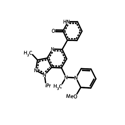 COC1C=CC=CN1N(C)c1cc(-c2ccc[nH]c2=O)nc2c(C)nn(C(C)C)c12